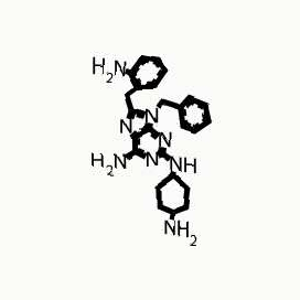 Nc1ccccc1Cc1nc2c(N)nc(NC3CCC(N)CC3)nc2n1Cc1ccccc1